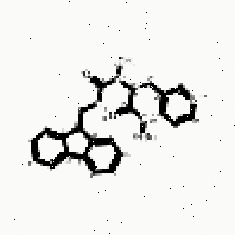 CN(C(=O)OCC1c2ccccc2-c2ccccc21)[C@@H](Cc1cccnc1)C(=O)OC(C)(C)C